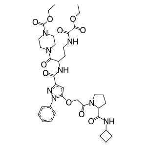 CCOC(=O)C(=O)NCCC(NC(=O)c1cc(OCC(=O)N2CCCC2C(=O)NC2CCC2)n(-c2ccccc2)n1)C(=O)N1CCN(C(=O)OCC)CC1